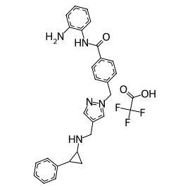 Nc1ccccc1NC(=O)c1ccc(Cn2cc(CNC3CC3c3ccccc3)cn2)cc1.O=C(O)C(F)(F)F